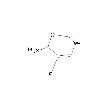 NC1OCNC=C1F